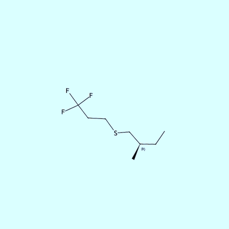 CC[C@@H](C)CSCCC(F)(F)F